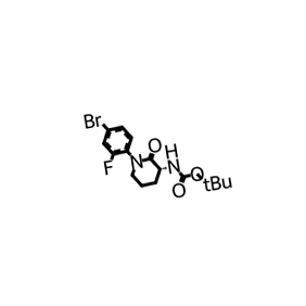 CC(C)(C)OC(=O)N[C@@H]1CCCN(c2ccc(Br)cc2F)C1=O